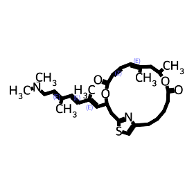 CC(/C=C/C(C)=C/C1Cc2nc(cs2)CCCCC(=O)OC(C)C/C(C)=C/C=C\C(=O)O1)=C\CN(C)C